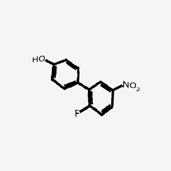 O=[N+]([O-])c1ccc(F)c(-c2ccc(O)cc2)c1